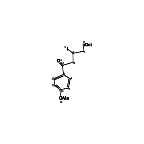 CCCCCCCCCC(I)CC(=O)c1ccc(OC)cc1